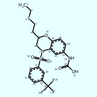 CCSCCC1CN(S(=O)(=O)c2cccc(C(F)(F)F)c2)c2cc(NC(=O)O)ccc2O1